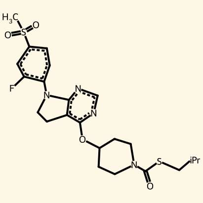 CC(C)CSC(=O)N1CCC(Oc2ncnc3c2CCN3c2ccc(S(C)(=O)=O)cc2F)CC1